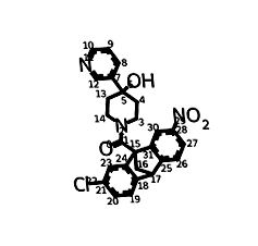 O=C(N1CCC(O)(c2cccnc2)CC1)C12CC(c3ccc(Cl)cc31)c1ccc([N+](=O)[O-])cc12